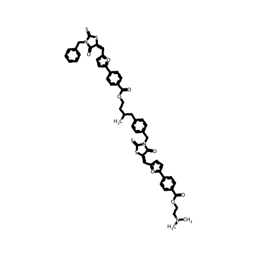 CC(CCOC(=O)c1ccc(-c2ccc(/C=C3/SC(=S)N(Cc4ccccc4)C3=O)o2)cc1)Cc1ccc(CN2C(=O)/C(=C\c3ccc(-c4ccc(C(=O)OCCN(C)C)cc4)o3)SC2=S)cc1